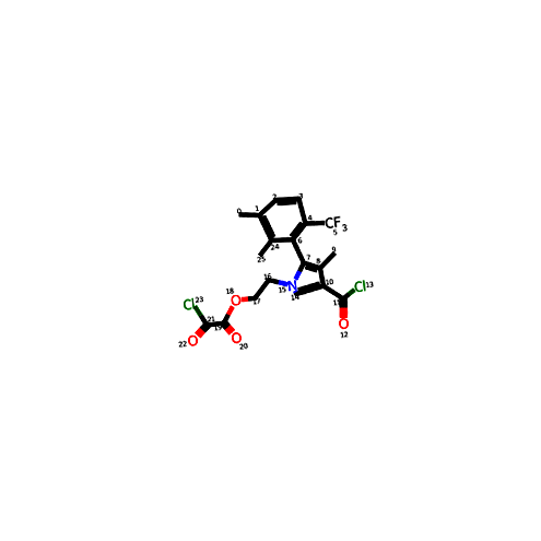 Cc1ccc(C(F)(F)F)c(-c2c(C)c(C(=O)Cl)cn2CCOC(=O)C(=O)Cl)c1C